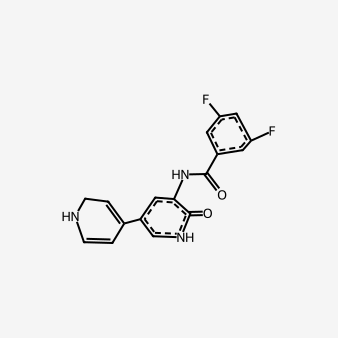 O=C(Nc1cc(C2=CCNC=C2)c[nH]c1=O)c1cc(F)cc(F)c1